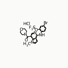 Cl.Cn1ccc2c(Nc3ccc(Br)cc3OC(F)(F)F)ncc(C(=O)N3CCOCC3)c21